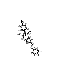 O=C1c2cc(COc3ccccc3)nn2C[C@H](CF)N1c1ccc(F)cc1